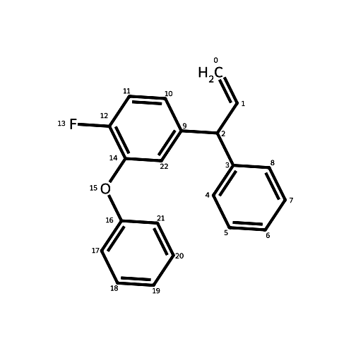 C=CC(c1ccccc1)c1ccc(F)c(Oc2ccccc2)c1